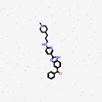 CN1CCC(CCCNc2ccc(-c3nc4cc(C(=O)c5ccccc5)ccc4[nH]3)cn2)CC1